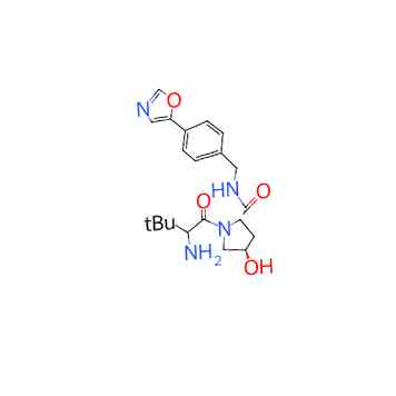 CC(C)(C)C(N)C(=O)N1C[C@H](O)C[C@H]1C(=O)NCc1ccc(-c2cnco2)cc1